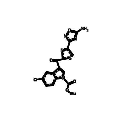 CC(C)(C)OC(=O)n1cc(C(=O)c2nc(-c3noc(N)n3)cs2)c2cc(Cl)ccc21